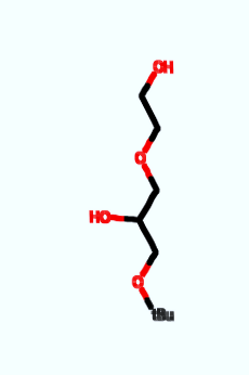 CC(C)(C)OCC(O)COCCO